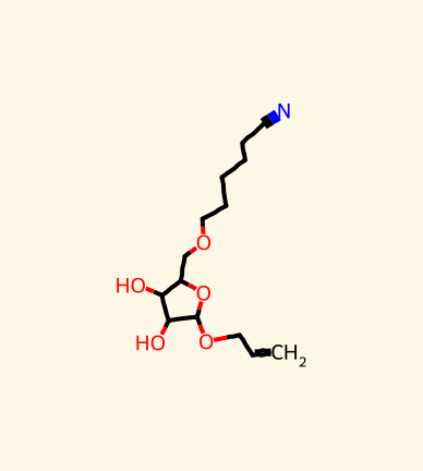 C=CCOC1OC(COCCCCCC#N)C(O)C1O